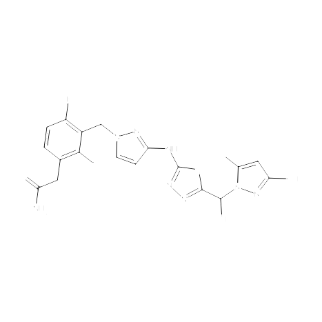 Cc1cc(C)n(C(C)c2nnc(Nc3ccn(Cc4c(F)ccc(CC(N)=O)c4F)n3)s2)n1